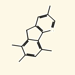 Cc1cnc2c(c1)Cc1c(C)c(C)cc(C)c1-2